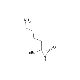 CCCCC1(CCCCN)NC1=O